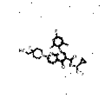 O=C(NC(C1CC1)C(F)(F)F)c1cn(-c2c(F)cc(F)cc2F)c2nc(N3CCC(F)(CO)CC3)ccc2c1=O